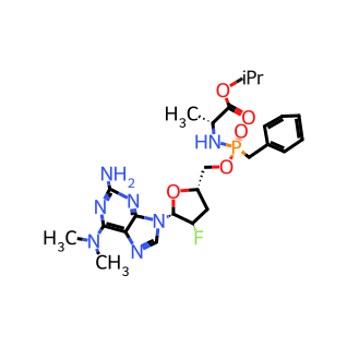 CC(C)OC(=O)[C@@H](C)NP(=O)(Cc1ccccc1)OC[C@@H]1C[C@H](F)[C@H](n2cnc3c(N(C)C)nc(N)nc32)O1